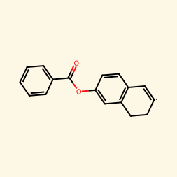 O=C(Oc1ccc2c(c1)CC[C]=C2)c1ccccc1